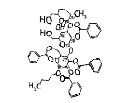 CCCCO[C@@H]1OC(COC(=O)c2ccccc2)[C@@H](O[C@@H]2OC(CO)[C@H](O)C(O[C@@H]3OC(CO)CC[C@@H]3C)[C@@H]2OC(=O)c2ccccc2)C(OC(=O)c2ccccc2)[C@@H]1OC(=O)c1ccccc1